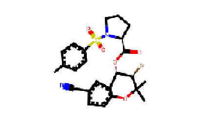 Cc1ccc(S(=O)(=O)N2CCC[C@H]2C(=O)O[C@H]2c3cc(C#N)ccc3OC(C)(C)[C@@H]2Br)cc1